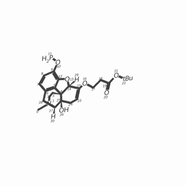 CN1CC[C@@]23c4c5ccc(OP)c4O[C@@H]2C(OCCC(=O)OC(C)(C)C)=CC[C@]3(O)[C@@H]1C5